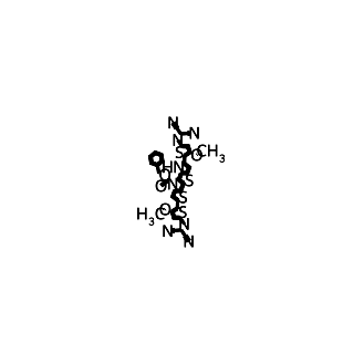 COc1cc(N=C(C#N)C#N)sc1-c1cc2sc3c4sc(-c5sc(N=C(C#N)C#N)cc5OC)cc4n(C(=O)OCc4ccccc4)c3c2[nH]1